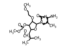 COCCOC1C(OP(=O)(OC)OC)C(CC(C)C)OC1n1cc(C)c(N)nc1=O